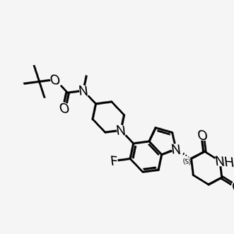 CN(C(=O)OC(C)(C)C)C1CCN(c2c(F)ccc3c2ccn3[C@H]2CCC(=O)NC2=O)CC1